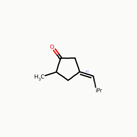 CC(C)/C=C1/CC(=O)C(C)C1